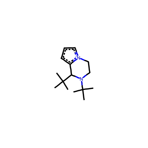 CC(C)(C)C1c2cccn2CCN1C(C)(C)C